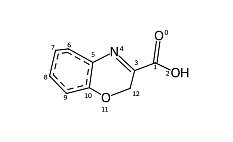 O=C(O)C1=Nc2ccccc2OC1